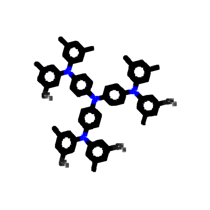 Cc1cc(C)cc(N(c2ccc(N(c3ccc(N(c4cc(C)cc(C)c4)c4cc(C)cc(C(F)(F)F)c4)cc3)c3ccc(N(c4cc(C)cc(C(F)(F)F)c4)c4cc(C)cc(C(F)(F)F)c4)cc3)cc2)c2cc(C)cc(C(F)(F)F)c2)c1